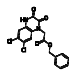 O=C(Cn1c(=O)c(=O)[nH]c2cc(Cl)c(Cl)cc21)OCc1ccccc1